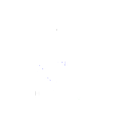 Cc1cc(Br)cc2c1-n1ccnc1-c1cc(-c3ccc(F)cc3)cn1C2